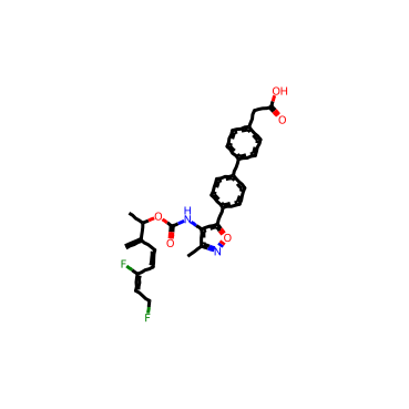 C=C(/C=C\C(F)=C/CF)C(C)OC(=O)Nc1c(C)noc1-c1ccc(-c2ccc(CC(=O)O)cc2)cc1